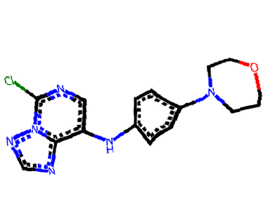 Clc1ncc(Nc2ccc(N3CCOCC3)cc2)c2ncnn12